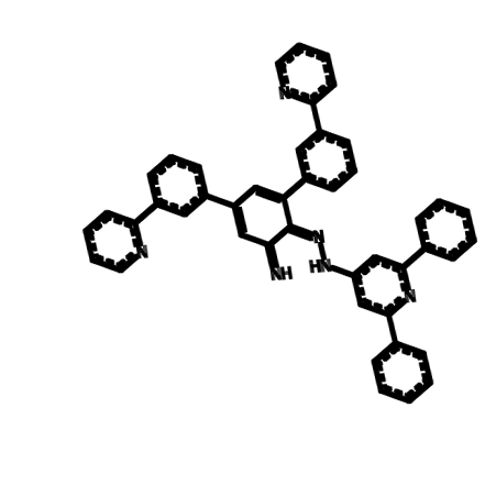 N=C1C=C(c2cccc(-c3ccccn3)c2)C=C(c2cccc(-c3ccccn3)c2)/C1=N/Nc1cc(-c2ccccc2)nc(-c2ccccc2)c1